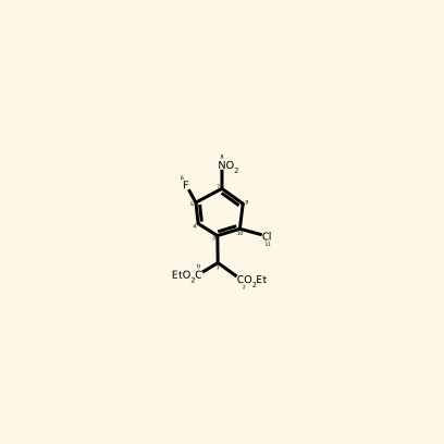 CCOC(=O)C(C(=O)OCC)c1cc(F)c([N+](=O)[O-])cc1Cl